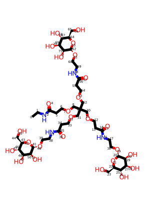 CCNC(=O)CCOCC(COCCC(=O)NCCO[C@H]1O[C@H](CO)[C@@H](O)[C@H](O)[C@@H]1O)(COCCC(=O)NCCO[C@H]1O[C@H](CO)[C@@H](O)[C@H](O)[C@@H]1O)COCCC(=O)NCCO[C@H]1O[C@H](CO)[C@@H](O)[C@H](O)[C@@H]1O